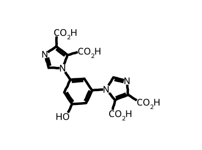 O=C(O)c1ncn(-c2cc(O)cc(-n3cnc(C(=O)O)c3C(=O)O)c2)c1C(=O)O